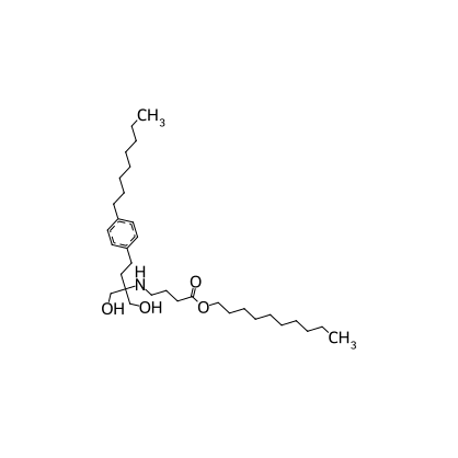 CCCCCCCCCCOC(=O)CCCNC(CO)(CO)CCc1ccc(CCCCCCCC)cc1